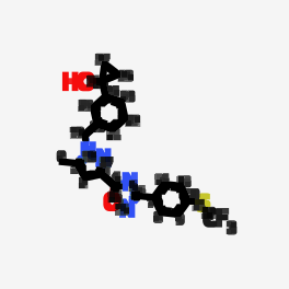 Cc1cc(-c2nc(-c3ccc(SC(F)(F)F)cc3)no2)nn1Cc1cccc(C2(O)CC2)c1